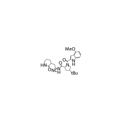 COc1cccc2[nH]c(C(=O)N3CC(C(C)(C)C)CC3C(=O)NC(C#N)CC3CCCNC3=O)cc12